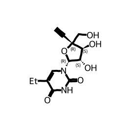 C#C[C@]1(CO)O[C@@H](n2cc(CC)c(=O)[nH]c2=O)[C@@H](O)[C@@H]1O